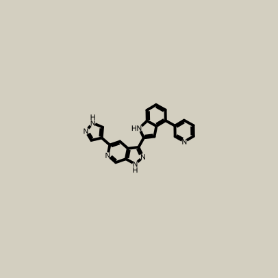 c1cncc(-c2cccc3[nH]c(-c4n[nH]c5cnc(-c6cn[nH]c6)cc45)cc23)c1